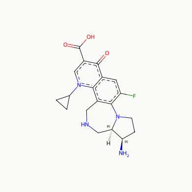 N[C@@H]1CCN2c3c(F)cc4c(=O)c(C(=O)O)cn(C5CC5)c4c3CNC[C@H]12